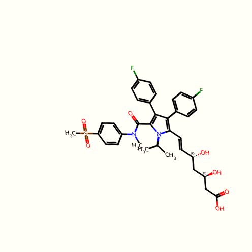 CC(C)n1c(C=C[C@H](O)C[C@@H](O)CC(=O)O)c(-c2ccc(F)cc2)c(-c2ccc(F)cc2)c1C(=O)N(C)c1ccc(S(C)(=O)=O)cc1